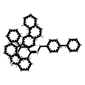 C=NC(N/C(=N\Cc1ccc(-c2ccccc2)cc1)c1cccc2oc3cccc(-c4ccc5ccc6ccccc6c5c4)c3c12)c1ccccc1